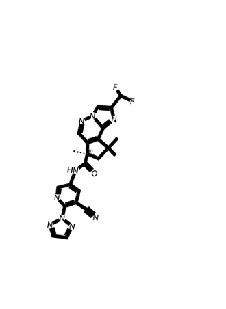 CC1(C)C[C@@](C)(C(=O)Nc2cnc(-n3nccn3)c(C#N)c2)c2cnn3cc(C(F)F)nc3c21